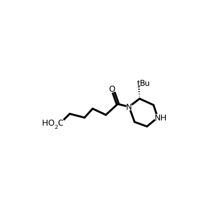 CC(C)(C)[C@@H]1CNCCN1C(=O)CCCCC(=O)O